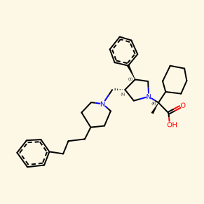 C[C@](C(=O)O)(C1CCCCC1)N1C[C@H](CN2CCC(CCCc3ccccc3)CC2)[C@@H](c2ccccc2)C1